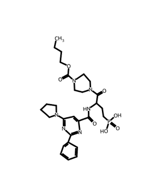 CCCCOC(=O)N1CCN(C(=O)C(CCP(=O)(O)O)NC(=O)c2cc(N3CCCC3)nc(-c3ccccc3)n2)CC1